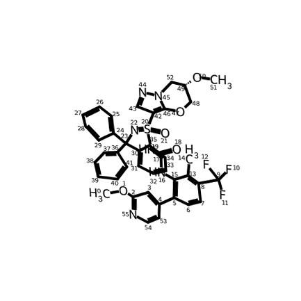 COc1cc(-c2ccc(C(F)(F)F)c(C)c2NC(=O)NS(=O)(=NC(c2ccccc2)(c2ccccc2)c2ccccc2)c2cnn3c2OC[C@@H](OC)C3)ccn1